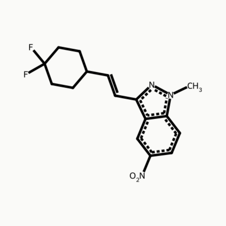 Cn1nc(C=CC2CCC(F)(F)CC2)c2cc([N+](=O)[O-])ccc21